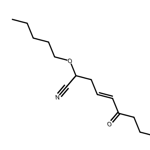 CCCCCOC(C#N)CC=CC(=O)CCC